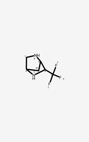 FC(F)(F)C1NC2CNC1C2